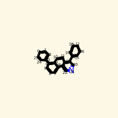 c1ccc(-c2cccc3c2ccc2c(-c4ccccc4)cncc23)cc1